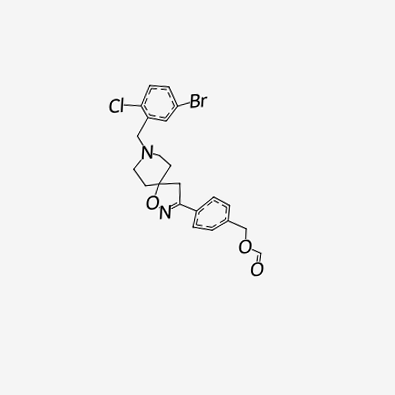 O=COCc1ccc(C2=NOC3(CCN(Cc4cc(Br)ccc4Cl)CC3)C2)cc1